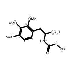 CCCCOC(=O)NC(Cc1ccc(OC)c(OC)c1OC)C(=O)O